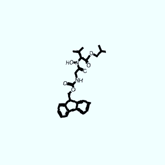 CC(C)COC(=O)C(C(C)C)N(O)C(=O)CNC(=O)OCC1c2ccccc2-c2ccccc21